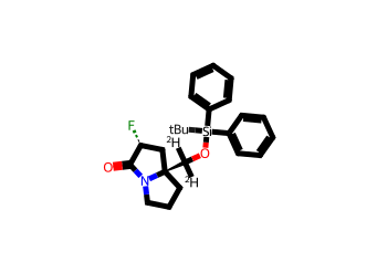 [2H]C([2H])(O[Si](c1ccccc1)(c1ccccc1)C(C)(C)C)[C@@]12CCCN1C(=O)[C@H](F)C2